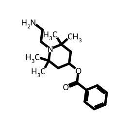 CC1(C)CC(OC(=O)c2ccccc2)CC(C)(C)N1CCN